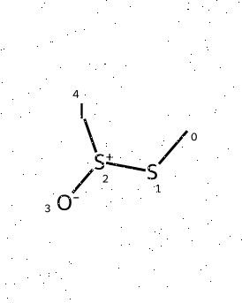 CS[S+]([O-])I